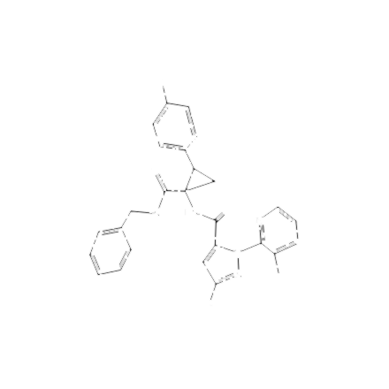 O=C(NC1(C(=O)NCc2ccccc2)CC1c1ccc(Cl)cc1)c1cc(Br)nn1-c1ncccc1Cl